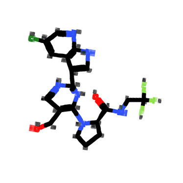 O=C(NCC(F)(F)F)[C@H]1CCCN1c1nc(-c2c[nH]c3ncc(Cl)cc23)ncc1CO